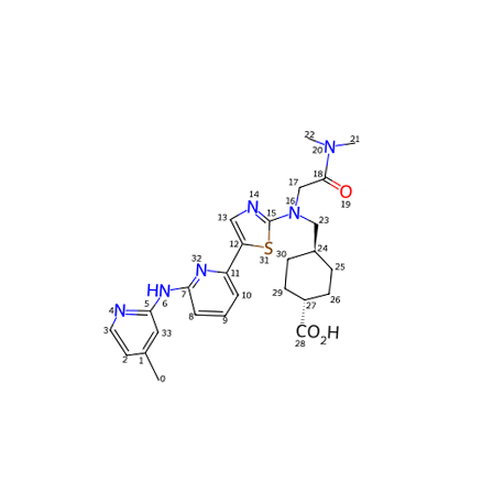 Cc1ccnc(Nc2cccc(-c3cnc(N(CC(=O)N(C)C)C[C@H]4CC[C@H](C(=O)O)CC4)s3)n2)c1